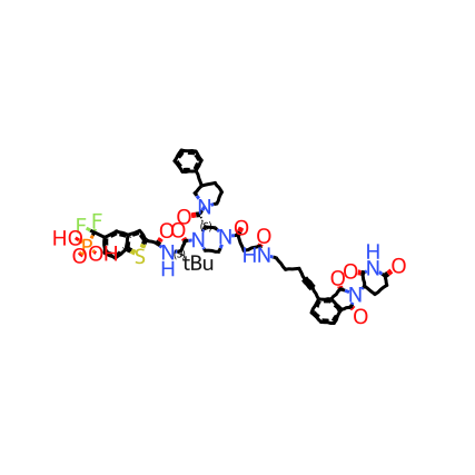 CC(C)(C)[C@H](NC(=O)c1cc2cc(C(F)(F)P(=O)(O)O)ccc2s1)C(=O)N1CCN(C(=O)CC(=O)NCCCC#Cc2cccc3c2C(=O)N(C2CCC(=O)NC2=O)C3=O)C[C@H]1C(=O)N1CCCC(c2ccccc2)C1